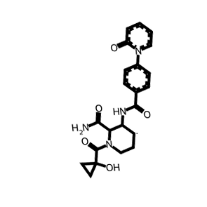 NC(=O)C1C(NC(=O)c2ccc(-n3ccccc3=O)cc2)[CH]CCN1C(=O)C1(O)CC1